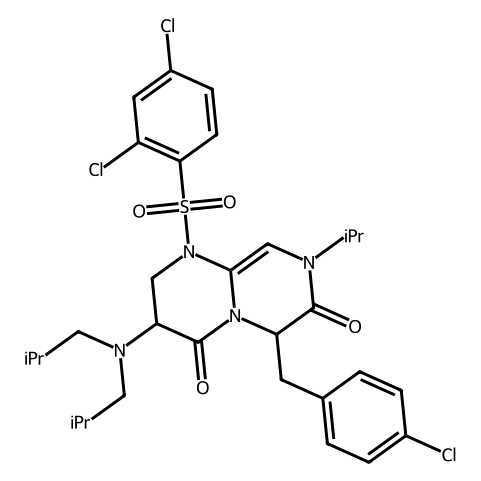 CC(C)CN(CC(C)C)C1CN(S(=O)(=O)c2ccc(Cl)cc2Cl)C2=CN(C(C)C)C(=O)C(Cc3ccc(Cl)cc3)N2C1=O